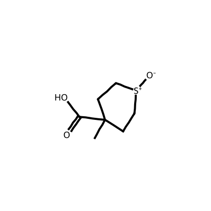 CC1(C(=O)O)CC[S+]([O-])CC1